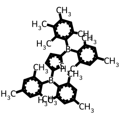 Cc1cc(C)c(B(c2ccc(B(c3c(C)cc(C)cc3C)c3c(C)cc(C)c(C)c3C)s2)c2c(C)cc(C)cc2C)c(C)c1